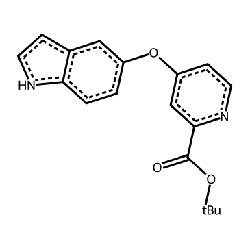 CC(C)(C)OC(=O)c1cc(Oc2ccc3[nH]ccc3c2)ccn1